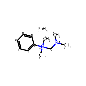 CN(C)C[N+](C)(C)c1ccccc1.[SnH4]